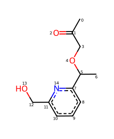 CC(=O)COC(C)c1cccc(CO)n1